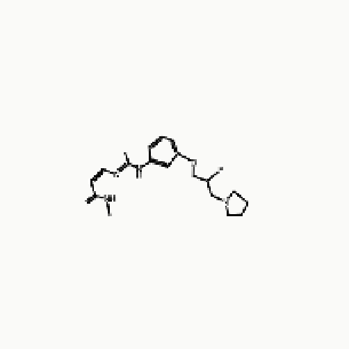 C=C(/C=C\N=C(/C)Nc1cccc(OCC(F)CN2CCCC2)c1)NC